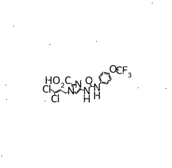 O=C(Nc1ccc(OC(F)(F)F)cc1)Nc1cn(CC=C(Cl)Cl)c(C(=O)O)n1